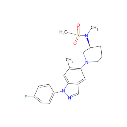 Cc1cc2c(cnn2-c2ccc(F)cc2)cc1N1CCC[C@H](N(C)S(C)(=O)=O)C1